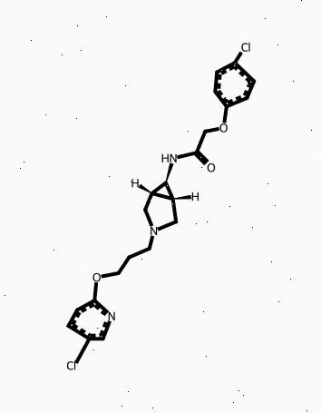 O=C(COc1ccc(Cl)cc1)N[C@H]1[C@@H]2CN(CCCOc3ccc(Cl)cn3)C[C@@H]21